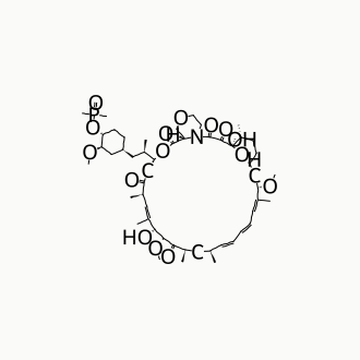 CO[C@H]1C[C@@H]2CC[C@@H](C)[C@@](O)(O2)C(=O)C(=O)N2CCOC[C@H]2C(=O)O[C@H]([C@H](C)C[C@@H]2CC[C@@H](OP(C)(C)=O)[C@H](OC)C2)CC(=O)[C@H](C)/C=C(\C)[C@@H](O)[C@@H](OC)C(=O)[C@H](C)C[C@H](C)/C=C/C=C/C=C/1C